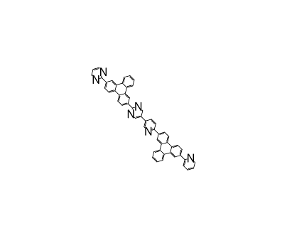 c1ccc(-c2ccc3c4ccc(-c5ccc(-c6cnc(-c7ccc8c9ccc(-c%10ncccn%10)cc9c9ccccc9c8c7)nc6)cn5)cc4c4ccccc4c3c2)nc1